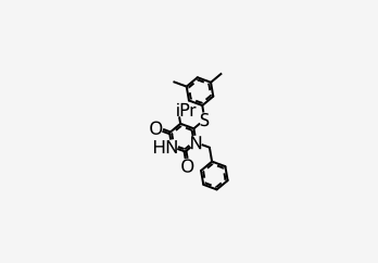 Cc1cc(C)cc(Sc2c(C(C)C)c(=O)[nH]c(=O)n2Cc2ccccc2)c1